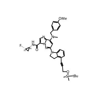 COc1ccc(CN(C)c2cc(N3CCc4c(C#CCO[Si](C)(C)C(C)(C)C)cccc43)nn3c(C(=O)N[C@@H]4C[C@@H]4F)cnc23)cc1